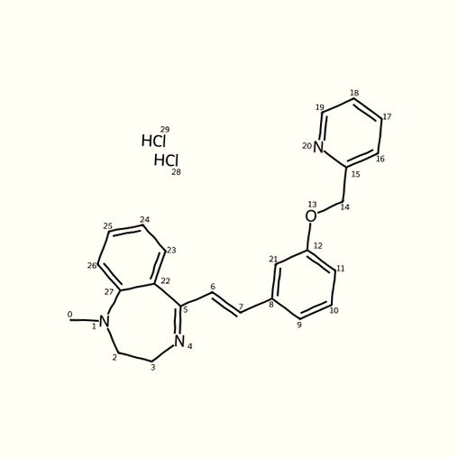 CN1CCN=C(/C=C/c2cccc(OCc3ccccn3)c2)c2ccccc21.Cl.Cl